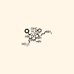 CC(C)C[C@H](NC(=O)[C@H](CCC(=O)O)NC(=O)c1ccccc1)C(=O)N[C@@H](CCCCN)C(=O)N1CCC[C@@]1(N)C=O